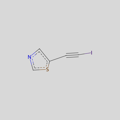 IC#Cc1cncs1